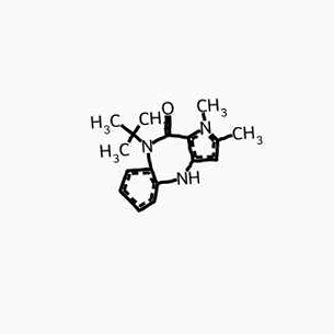 Cc1cc2c(n1C)C(=O)N(C(C)(C)C)c1ccccc1N2